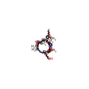 CO[C@@H]1C[C@H](CC(C)[C@@H]2CC(=O)[C@H](C)/C=C(\C)[C@@H](O)[C@@H](OC)C(=O)[C@H](C)C[C@H](C)/C=C/C=C/C=C(\C)[C@@H](OCCCCO)C[C@@H]3CC[C@@H](C)[C@@](O)(O3)C(=O)C(=O)N3CCCC[C@H]3C(=O)O2)CC[C@H]1OCCCI